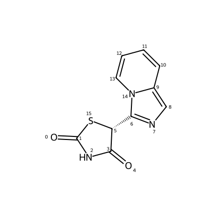 O=C1NC(=O)[C@@H](c2ncc3ccccn23)S1